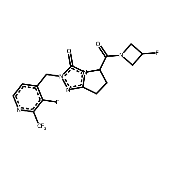 O=C(C1CCc2nn(Cc3ccnc(C(F)(F)F)c3F)c(=O)n21)N1CC(F)C1